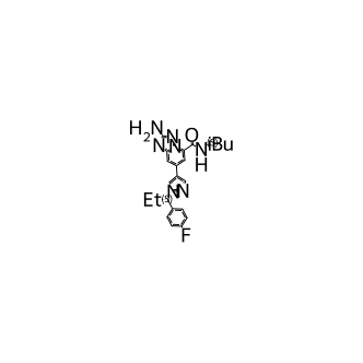 CC[C@H](C)NC(=O)c1cc(-c2cnn([C@@H](CC)c3ccc(F)cc3)c2)cc2nc(N)nn12